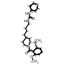 COc1cccc(OC)c1C(=O)N1CCC(CCCCNC(=O)Nc2ccncc2)CC1